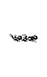 COCCN1CC2COc3c(Sc4cnc(N5CCC6(CC5)Cc5ncccc5[C@H]6N)c(CO)n4)ccnc3N2C1=O